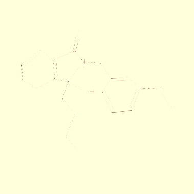 CCCCC1(O)C2=C(C=CCC2)C(=O)N1Cc1cccc(OC)c1